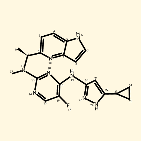 C[C@@H](c1ccc2[nH]ccc2n1)N(C)c1ncc(F)c(Nc2cc(C3CC3)[nH]n2)n1